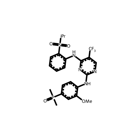 COc1cc(P(C)(C)=O)ccc1Nc1ncc(C(F)(F)F)c(Nc2ccccc2S(=O)(=O)C(C)C)n1